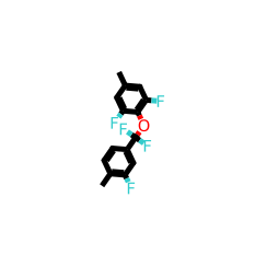 Cc1cc(F)c(OC(F)(F)c2ccc(C)c(F)c2)c(F)c1